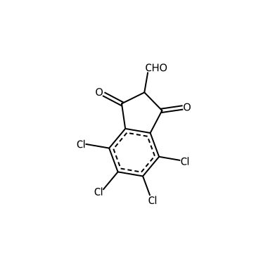 O=CC1C(=O)c2c(Cl)c(Cl)c(Cl)c(Cl)c2C1=O